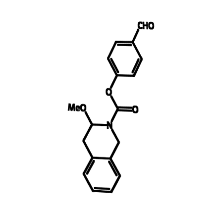 COC1Cc2ccccc2CN1C(=O)Oc1ccc(C=O)cc1